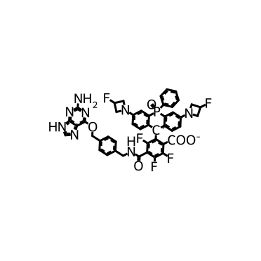 Nc1nc(OCc2ccc(CNC(=O)c3c(F)c(F)c(C(=O)[O-])c([C+]4c5ccc(N6CC(F)C6)cc5P(=O)(c5ccccc5)c5cc(N6CC(F)C6)ccc54)c3F)cc2)c2nc[nH]c2n1